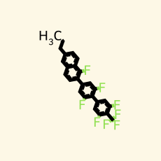 CCCc1ccc2c(F)c(-c3cc(F)c(-c4cc(F)c(C(F)(F)F)c(F)c4)c(F)c3)ccc2c1